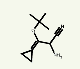 CC(C)(C)OC(=C1CC1)C(N)C#N